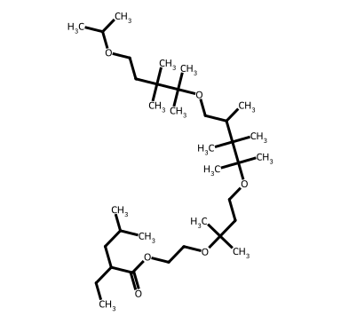 CCC(CC(C)C)C(=O)OCCOC(C)(C)CCOC(C)(C)C(C)(C)C(C)COC(C)(C)C(C)(C)CCOC(C)C